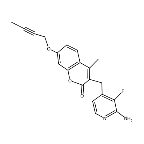 CC#CCOc1ccc2c(C)c(Cc3ccnc(N)c3F)c(=O)oc2c1